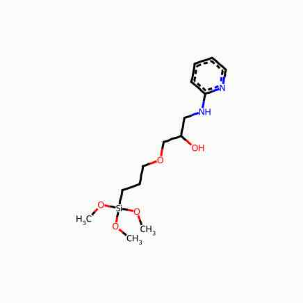 CO[Si](CCCOCC(O)CNc1ccccn1)(OC)OC